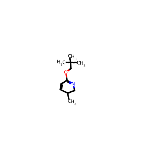 CC1C=CC(OCC(C)(C)C)=NC1